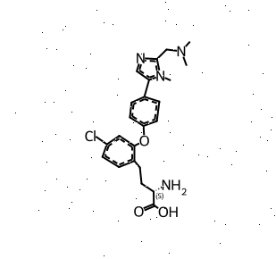 CN(C)Cc1ncc(-c2ccc(Oc3cc(Cl)ccc3CC[C@H](N)C(=O)O)cc2)n1C